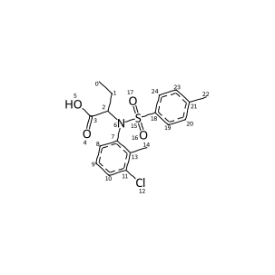 CCC(C(=O)O)N(c1cccc(Cl)c1C)S(=O)(=O)c1ccc(C)cc1